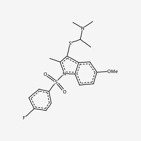 COc1ccc2c(c1)c(SC(C)N(C)C)c(C)n2S(=O)(=O)c1ccc(F)cc1